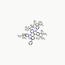 Cc1cc(C(C)(C)C)ccc1N1c2cc(-c3ccccc3)ccc2B2c3cc4c(cc3N(c3ccc5c(c3)C(C)(C)CC5(C)C)c3cc(C(C)(C)C)cc1c32)C(C)(C)CC4(C)C